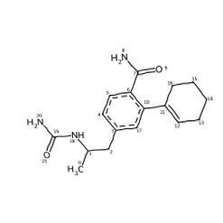 CC(Cc1ccc(C(N)=O)c(C2=CCCCC2)c1)NC(N)=O